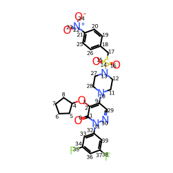 O=c1c(OC2CCCC2)c(N2CCN(S(=O)(=O)Cc3ccc([N+](=O)[O-])cc3)CC2)cnn1-c1cc(F)cc(F)c1